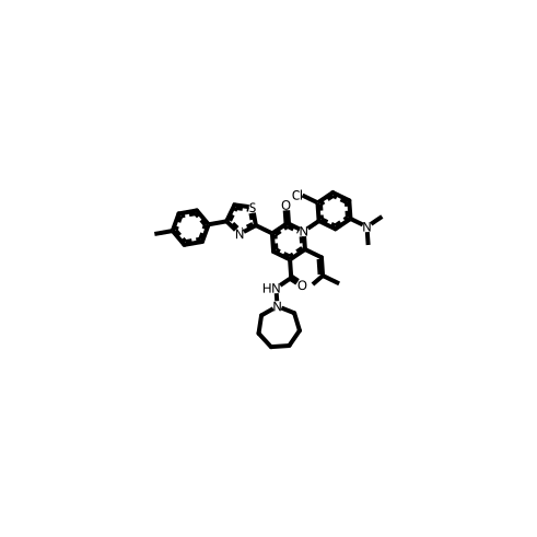 CC(C)=Cc1c(C(=O)NN2CCCCCC2)cc(-c2nc(-c3ccc(C)cc3)cs2)c(=O)n1-c1cc(N(C)C)ccc1Cl